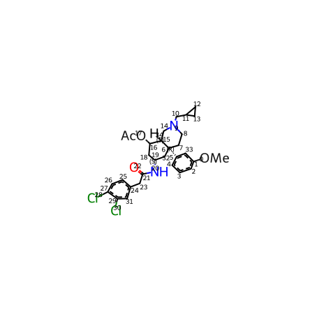 COc1cccc([C@@]23CCN(CC4CC4)C[C@H]2C(OC(C)=O)C[C@@H](NC(=O)Cc2ccc(Cl)c(Cl)c2)C3)c1